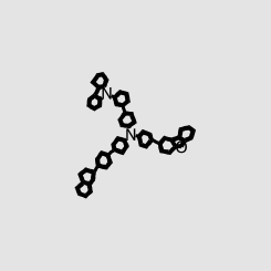 c1cc(-c2ccc(N(c3ccc(-c4ccc(-c5ccc6ccccc6c5)cc4)cc3)c3ccc(-c4ccc5oc6ccccc6c5c4)cc3)cc2)cc(-n2c3ccccc3c3ccccc32)c1